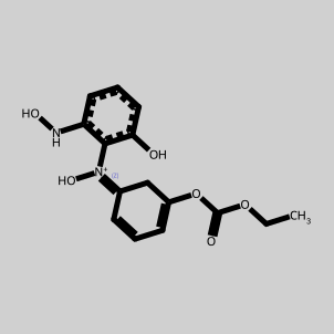 CCOC(=O)OC1=CC=C/C(=[N+](\O)c2c(O)cccc2NO)C1